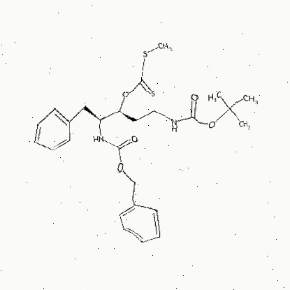 CSC(=S)O[C@@H](CCNC(=O)OC(C)(C)C)[C@H](Cc1ccccc1)NC(=O)OCc1ccccc1